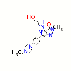 CCN1CCN(c2ccc(-c3cc4ncn(C)c(=O)c4c(NCCCO)n3)cc2)CC1